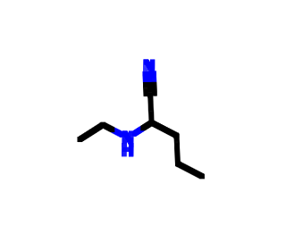 CCCC(C#N)NCC